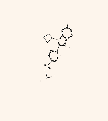 CCc1ccc2c(C#N)c(-c3ccc(S(=O)(=O)N[C@@H](C)C(F)(F)F)cn3)n(C3CCC3)c2c1